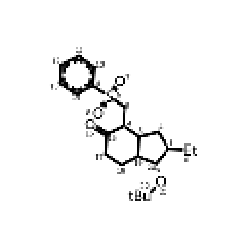 CCC1CC2C(CS(=O)(=O)c3ccccc3)C(=O)CCC2[C@H]1OC(C)(C)C